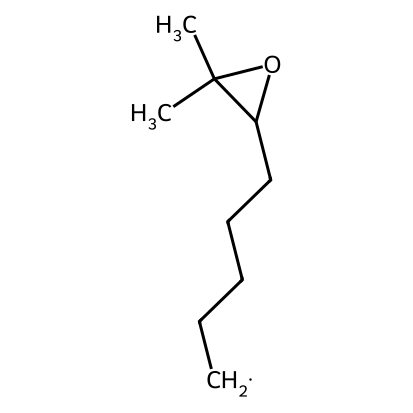 [CH2]CCCCC1OC1(C)C